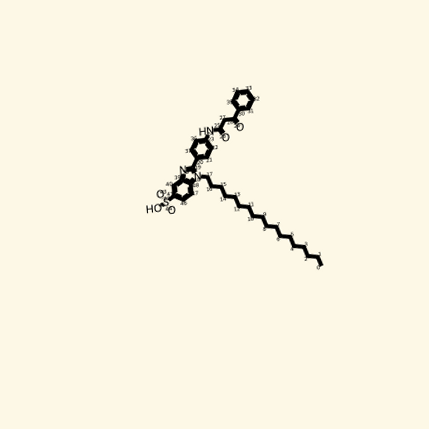 CCCCCCCCCCCCCCCCCCn1c(-c2ccc(NC(=O)CC(=O)c3ccccc3)cc2)nc2cc(S(=O)(=O)O)ccc21